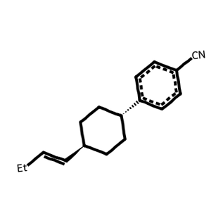 CCC=C[C@H]1CC[C@H](c2ccc(C#N)cc2)CC1